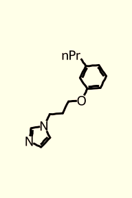 CCCc1cccc(OCCCn2ccnc2)c1